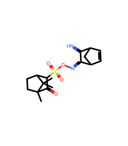 CC12CCC(C(S(=O)(=O)O/N=C3\C(=N)C4C=CC3C4)C1=O)C2(C)C